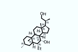 CC[C@H]1[C@@H](O)[C@@H]2[C@H](CC[C@]3(C)[C@@H]([C@H](C)CO)CC[C@@H]23)[C@@]2(C)CC[C@@H](C)C[C@@H]12